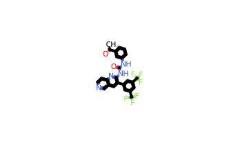 CC(=O)c1cccc(NC(=O)Nc2nc3ccncc3cc2-c2cc(C(F)(F)F)cc(C(F)(F)F)c2)c1